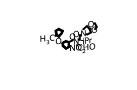 Cc1ccccc1Oc1ccc([N+](=O)[O-])c(C(=O)N(CC=O)[C@@H](C(=O)N2CCC3(CC2)OCCO3)C(C)C)c1